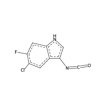 O=C=Nc1c[nH]c2cc(F)c(Cl)cc12